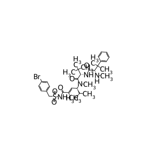 CN[C@H](C(=O)N[C@H](C(=O)N(C)[C@H](/C=C(\C)C(=O)NS(=O)(=O)Cc1ccc(Br)cc1)C(C)C)C(C)(C)C)C(C)(C)c1ccccc1